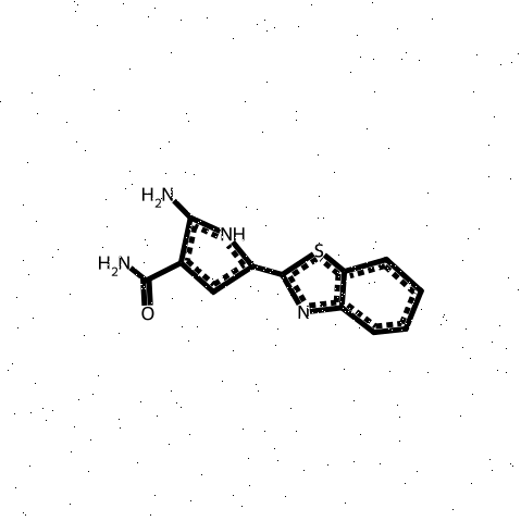 NC(=O)c1cc(-c2nc3ccccc3s2)[nH]c1N